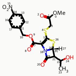 COC(=O)CSC1=C(C(=O)OCc2ccc([N+](=O)[O-])cc2)N2C(=O)C(C(C)O)[C@H]2S1